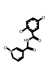 O=C(NC(=O)c1cc(Cl)ccc1Cl)C1=CN(Cl)CC=C1